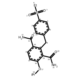 CCS(=O)(=O)c1ccc(Cc2c(C(N)=O)ccc(OC(C)C)c2C(N)=O)cc1